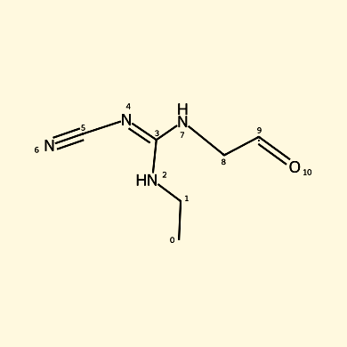 CCN/C(=N\C#N)NC[C]=O